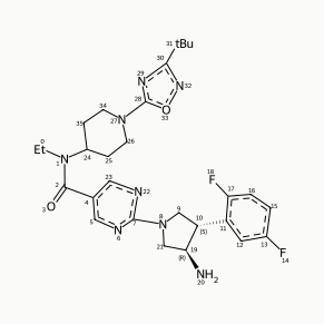 CCN(C(=O)c1cnc(N2C[C@H](c3cc(F)ccc3F)[C@@H](N)C2)nc1)C1CCN(c2nc(C(C)(C)C)no2)CC1